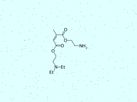 CCN(CC)CCOC(=O)C=C(C)C(=O)OCCN